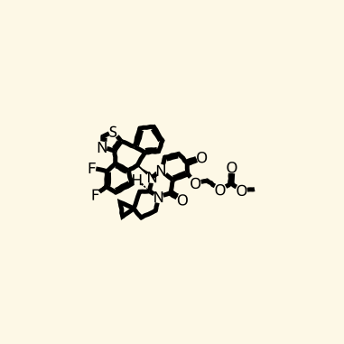 COC(=O)OCOc1c2n(ccc1=O)N([C@@H]1c3ccccc3-c3scnc3-c3c1ccc(F)c3F)[C@@H]1CC3(CCN1C2=O)CC3